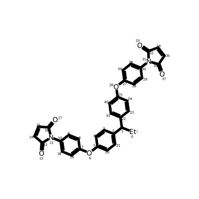 C[C]C(c1ccc(Oc2ccc(N3C(=O)C=CC3=O)cc2)cc1)c1ccc(Oc2ccc(N3C(=O)C=CC3=O)cc2)cc1